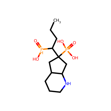 CCCC([PH](=O)O)C1(P(=O)(O)O)CC2CCCNC2C1